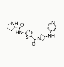 O=C(Nc1ccc(C(=O)N2CC(Nc3ccncc3)C2)s1)[C@@H]1CCCN1